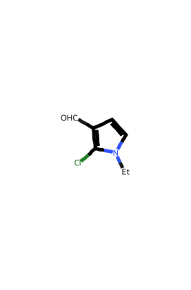 CCn1ccc(C=O)c1Cl